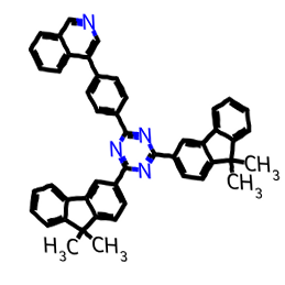 CC1(C)c2ccccc2-c2cc(-c3nc(-c4ccc(-c5cncc6ccccc56)cc4)nc(-c4ccc5c(c4)-c4ccccc4C5(C)C)n3)ccc21